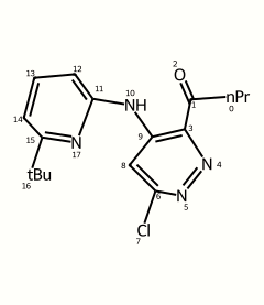 CCCC(=O)c1nnc(Cl)cc1Nc1cccc(C(C)(C)C)n1